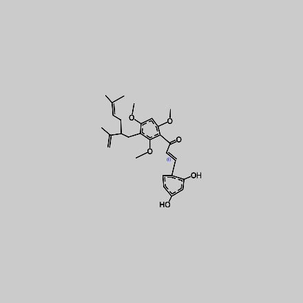 C=C(C)C(CC=C(C)C)Cc1c(OC)cc(OC)c(C(=O)/C=C/c2ccc(O)cc2O)c1OC